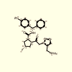 CC(=O)NCc1cnnn1CC(=O)N1C[C@H](F)C[C@H]1C(=O)N[C@@H](c1ccccc1)c1ccc(C(C)C)cc1